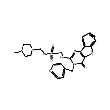 CN1CCN(CNS(=O)(=O)CNc2nc3c(oc4ccccc43)c(=O)n2Cc2ccncc2)CC1